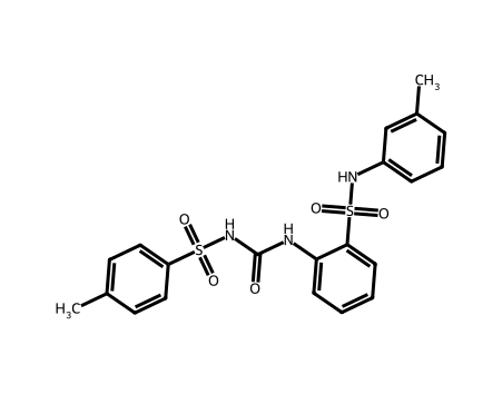 Cc1ccc(S(=O)(=O)NC(=O)Nc2ccccc2S(=O)(=O)Nc2cccc(C)c2)cc1